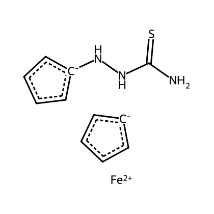 NC(=S)NN[c-]1cccc1.[Fe+2].c1cc[cH-]c1